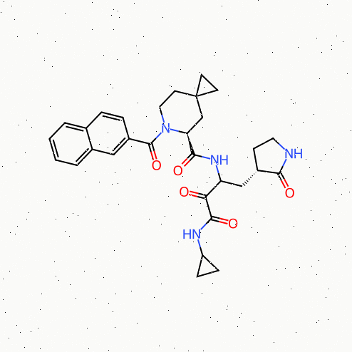 O=C(NC1CC1)C(=O)C(C[C@@H]1CCNC1=O)NC(=O)[C@@H]1CC2(CCN1C(=O)c1ccc3ccccc3c1)CC2